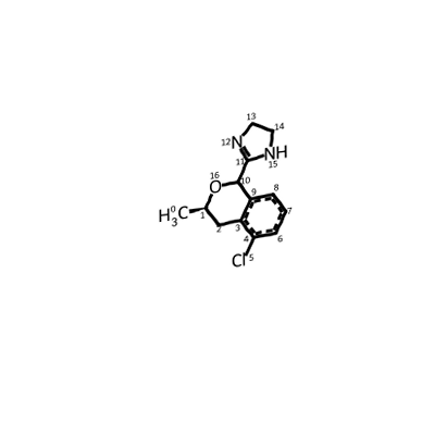 C[C@@H]1Cc2c(Cl)cccc2C(C2=NCCN2)O1